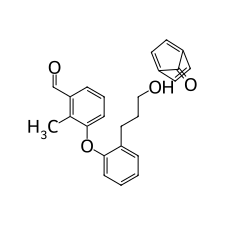 Cc1c(C=O)cccc1Oc1ccccc1CCCO.O=C1C2=CC=C1C=C2